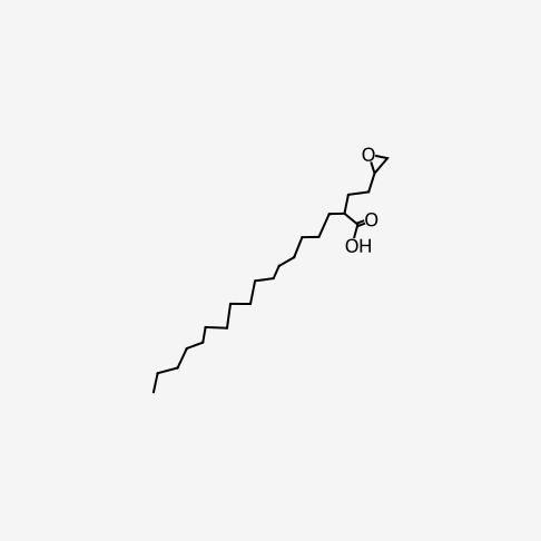 CCCCCCCCCCCCCCCCC(CCC1CO1)C(=O)O